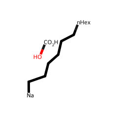 CCCCCCCCCCC[CH2][Na].O=C(O)O